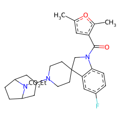 CCOC(=O)N1C2CCC1CC(N1CCC3(CC1)CN(C(=O)c1cc(C)oc1C)c1ccc(F)cc13)C2